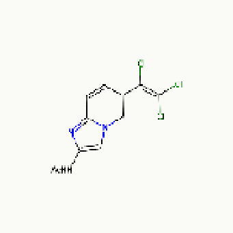 CC(=O)Nc1cn2cc(C(Cl)=C(Cl)Cl)ccc2n1